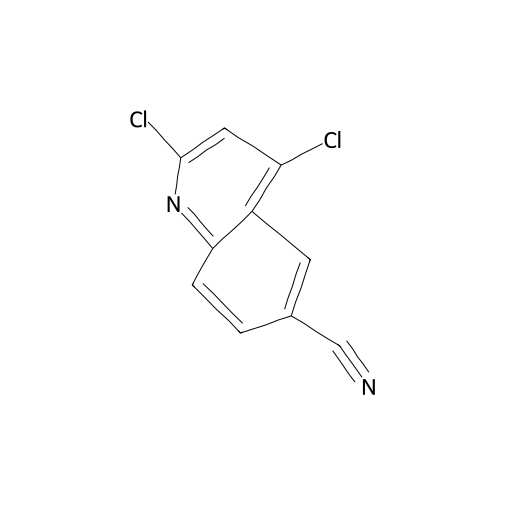 N#Cc1ccc2nc(Cl)cc(Cl)c2c1